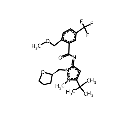 COCc1ccc(C(F)(F)F)cc1C(=O)N=c1cc(C(C)(C)C)n(C)n1C[C@H]1CCCO1